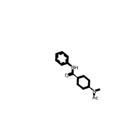 CC(=O)N(C)[C@H]1CC[C@@H](C(=O)Nc2cc[c]cc2)CC1